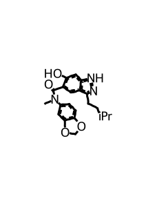 CC(C)CCc1n[nH]c2cc(O)c(C(=O)N(C)c3ccc4c(c3)OCO4)cc12